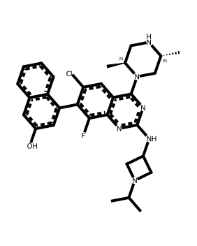 CC(C)N1CC(Nc2nc(N3C[C@@H](C)NC[C@@H]3C)c3cc(Cl)c(-c4cc(O)cc5ccccc45)c(F)c3n2)C1